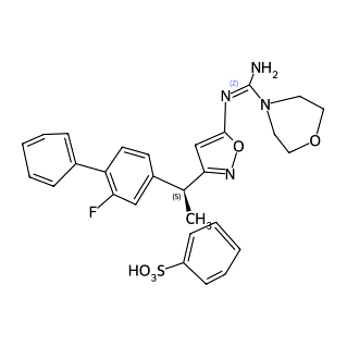 C[C@@H](c1ccc(-c2ccccc2)c(F)c1)c1cc(/N=C(/N)N2CCOCC2)on1.O=S(=O)(O)c1ccccc1